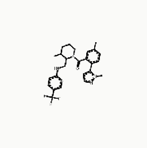 Cc1ccc(-c2ccnn2C)c(C(=O)N2CCCC(C)C2CNc2ccc(C(F)(F)F)cn2)c1